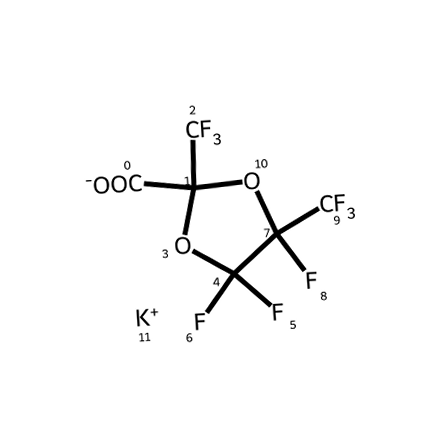 O=C([O-])C1(C(F)(F)F)OC(F)(F)C(F)(C(F)(F)F)O1.[K+]